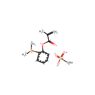 C=C(C)C(=O)Oc1ccccc1[S+](C)C.COS(=O)(=O)[O-]